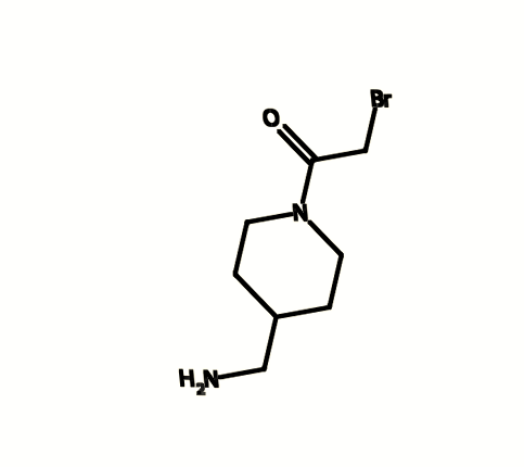 NCC1CCN(C(=O)CBr)CC1